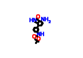 CC(C)(C)OC(=O)Nc1cccc(-c2ccc(N)c3c2CNC3=O)c1